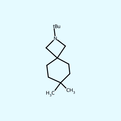 CC1(C)CCC2(CC1)CN(C(C)(C)C)C2